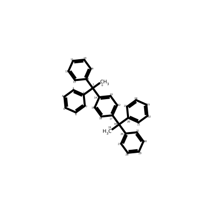 CC(c1ccccc1)(c1ccccc1)c1ccc(C(C)(c2ccccc2)c2ccccc2)cc1